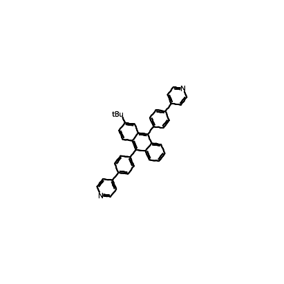 CC(C)(C)c1ccc2c(-c3ccc(-c4ccncc4)cc3)c3ccccc3c(-c3ccc(-c4ccncc4)cc3)c2c1